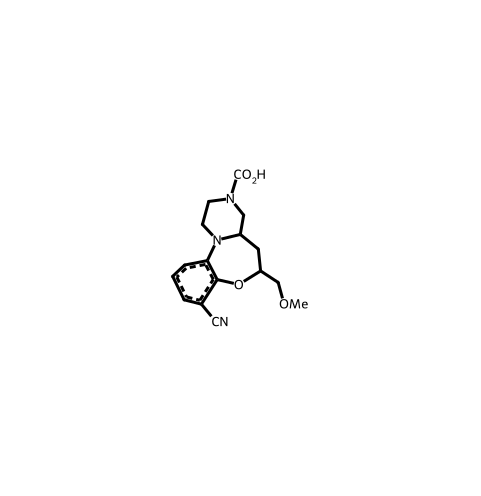 COCC1CC2CN(C(=O)O)CCN2c2cccc(C#N)c2O1